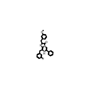 COc1cccc(Cc2nc3c(Cc4cccc(F)c4)[nH]c(-c4ccccc4)cn-3c2=O)c1